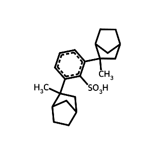 CC1(c2cccc(C3(C)CC4CCC3C4)c2S(=O)(=O)O)CC2CCC1C2